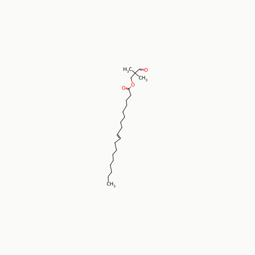 CCCCCCCCC=CCCCCCCCC(=O)OCC(C)(C)C=O